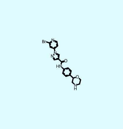 O=C(Nc1ccc(C2CNCCO2)cc1)c1cnn(-c2ccnc(Br)c2)c1